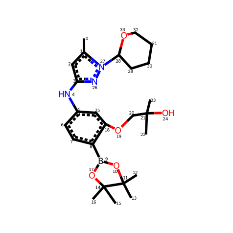 Cc1cc(Nc2ccc(B3OC(C)(C)C(C)(C)O3)c(OCC(C)(C)O)c2)nn1C1CCCCO1